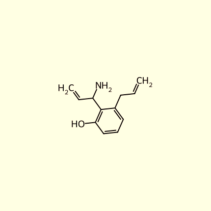 C=CCc1cccc(O)c1C(N)C=C